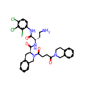 NCC[C@H](NC(=O)[C@@H]1Cc2ccccc2CN1C(=O)CCC(=O)N1CCc2ccccc2C1)C(=O)Nc1ccc(Cl)c(Cl)c1F